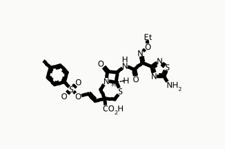 CCON=C(C(=O)NC1C(=O)N2CC(C=COS(=O)(=O)c3ccc(C)cc3)(C(=O)O)CS[C@H]12)c1nsc(N)n1